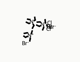 CC[N+](CC)(CC)CC.CC[N+](CC)(CC)CC.CC[N+](CC)(CC)CC.ClCCl.[Br-].[Br-].[Br-]